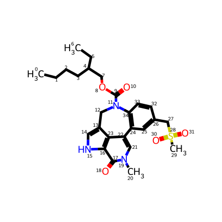 CCCCC(CC)COC(=O)N1Cc2c[nH]c3c(=O)n(C)cc(c23)-c2cc(CS(C)(=O)=O)ccc21